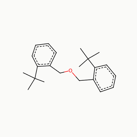 CC(C)(C)c1ccccc1COCc1ccccc1C(C)(C)C